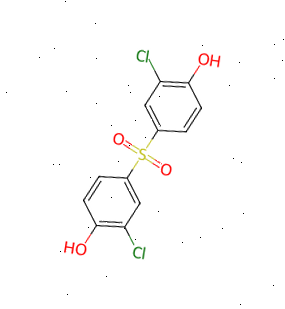 O=S(=O)(c1ccc(O)c(Cl)c1)c1ccc(O)c(Cl)c1